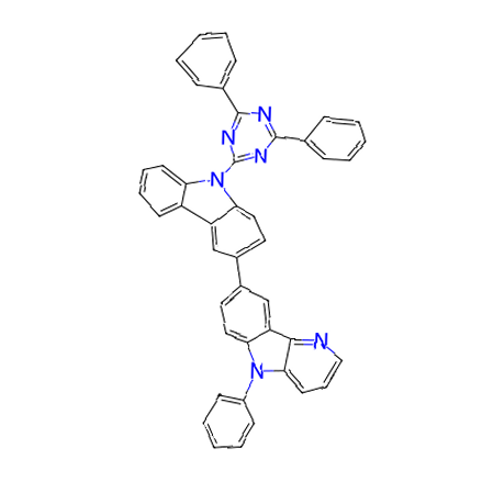 c1ccc(-c2nc(-c3ccccc3)nc(-n3c4ccccc4c4cc(-c5ccc6c(c5)c5ncccc5n6-c5ccccc5)ccc43)n2)cc1